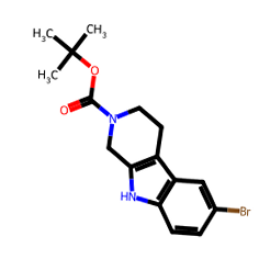 CC(C)(C)OC(=O)N1CCc2c([nH]c3ccc(Br)cc23)C1